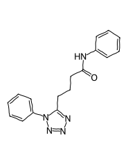 O=C(CCCc1nnnn1-c1ccccc1)Nc1ccccc1